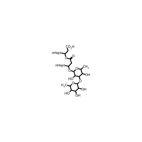 CCCCCCCC(CC(=O)O)OC(=O)CC(CCCCCCC)OC1OC(C)C(O)C(OC2OC(C)C(O)C(O)C2O)C1O